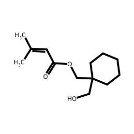 CC(C)=CC(=O)OCC1(CO)CCCCC1